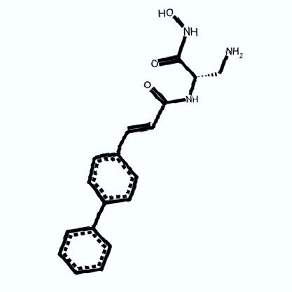 NC[C@H](NC(=O)/C=C/c1ccc(-c2ccccc2)cc1)C(=O)NO